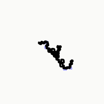 CCCC/C=C\C/C=C\COC(=O)CCCC(CCCC(=O)OC/C=C\C/C=C\CCCC)OC(=O)CCCN(C)C